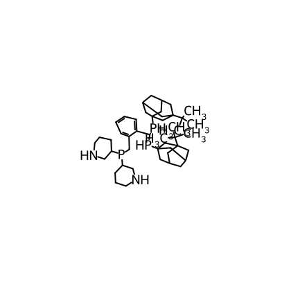 CC(C)(C)C12CC3CC(CC(PC(PC45CC6CC(C4)CC(C(C)(C)C)(C6)C5)c4ccccc4CP(C4CCCNC4)C4CCCNC4)(C3)C1)C2